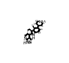 CCc1c(-c2ccnc3[nH]ncc23)[nH]c2ccc(C3CCNCC3)c(C)c12